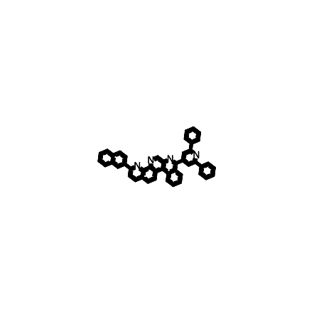 c1ccc(-c2cc(-c3nc4cnc5c(ccc6ccc(-c7ccc8ccccc8c7)nc65)c4c4ccccc34)cc(-c3ccccc3)n2)cc1